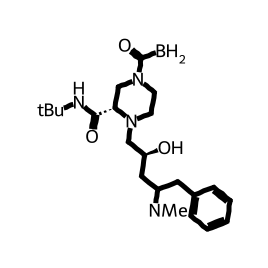 BC(=O)N1CCN(C[C@@H](O)CC(Cc2ccccc2)NC)[C@H](C(=O)NC(C)(C)C)C1